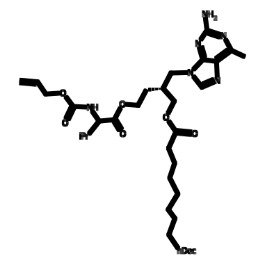 C=CCOC(=O)NC(C(=O)OCC[C@@H](COC(=O)CCCCCCCCCCCCCCCCC)Cn1cnc2c(C)nc(N)nc21)C(C)C